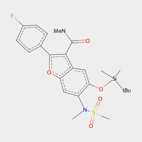 CNC(=O)c1c(-c2ccc(F)cc2)oc2cc(N(C)S(C)(=O)=O)c(O[Si](C)(C)C(C)(C)C)cc12